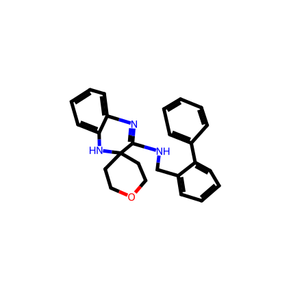 c1ccc(-c2ccccc2CNC2=Nc3ccccc3NC23CCOCC3)cc1